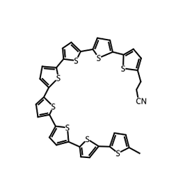 Cc1ccc(-c2ccc(-c3ccc(-c4ccc(-c5ccc(-c6ccc(-c7ccc(-c8ccc(CCC#N)s8)s7)s6)s5)s4)s3)s2)s1